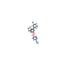 N#Cc1ccc(COc2cc(-c3cncc(F)c3)c3c(n2)CCC3)nc1